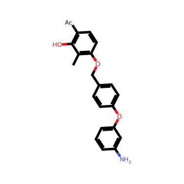 CC(=O)c1ccc(OCc2ccc(Oc3cccc(N)c3)cc2)c(C)c1O